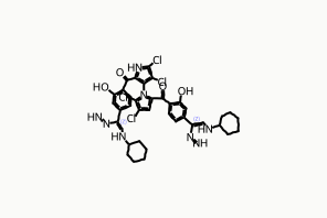 N=N/C(=C\NC1CCCCC1)c1ccc(C(=O)c2[nH]c(Cl)c(Cl)c2-n2c(C(=O)c3ccc(/C(=C/NC4CCCCC4)N=N)cc3O)cc(Cl)c2Cl)c(O)c1